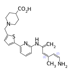 C=C(/C=C(C)\C=C/N)Nc1cccc(-c2ccc(CN3CCC(C(=O)O)CC3)s2)n1